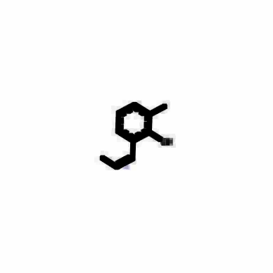 C/C=C\c1cccc(C)c1O